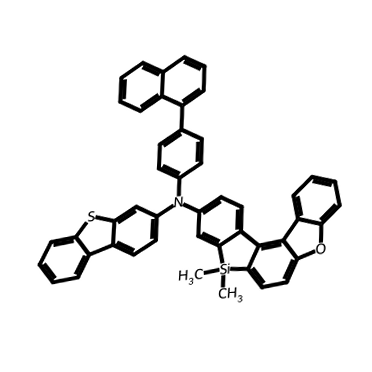 C[Si]1(C)c2cc(N(c3ccc(-c4cccc5ccccc45)cc3)c3ccc4c(c3)sc3ccccc34)ccc2-c2c1ccc1oc3ccccc3c21